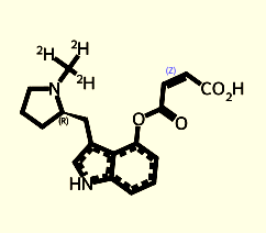 [2H]C([2H])([2H])N1CCC[C@@H]1Cc1c[nH]c2cccc(OC(=O)/C=C\C(=O)O)c12